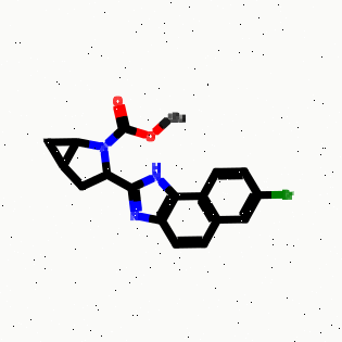 CC(C)(C)OC(=O)N1C(c2nc3ccc4cc(Br)ccc4c3[nH]2)CC2CC21